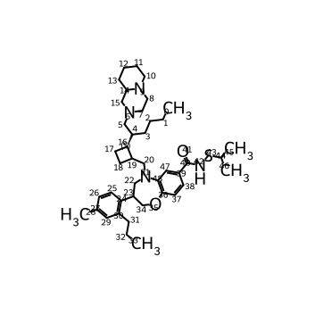 CCCCC(CN1CCN2CCCCC2C1)[C@@H]1CCC1CN1CC(c2ccc(C)cc2CCC)COc2ccc(C(=O)NSC(C)C)cc21